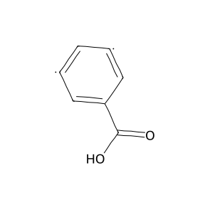 O=C(O)c1c[c]c[c]c1